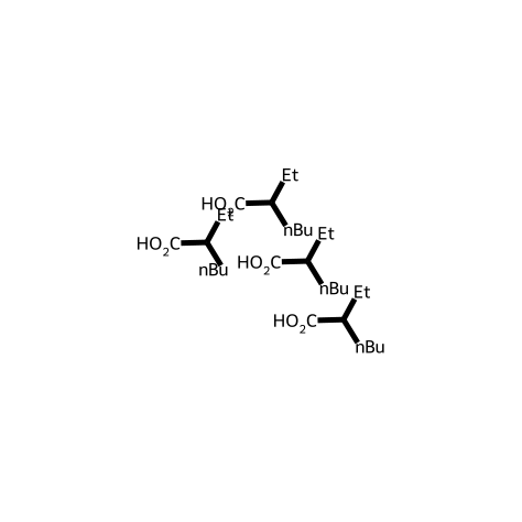 CCCCC(CC)C(=O)O.CCCCC(CC)C(=O)O.CCCCC(CC)C(=O)O.CCCCC(CC)C(=O)O